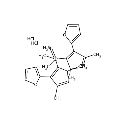 CC1=CC(C)[C]([Zr]([CH3])([CH3])(=[SiH2])[C]2=C(c3ccco3)C(C)=CC2C)=C1c1ccco1.Cl.Cl